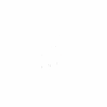 [K+].[Li+].[Na+].[O]=[Sb]([O-])([O-])[O-]